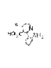 C#Cc1ccnc(-c2ccccc2N)c1C(=O)O